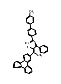 C=C(/N=C(\C(CC)=C(/C)c1ccc2c3ccccc3c3ccccc3c2c1)c1ccccc1)c1ccc(-c2ccc(C)cc2)cc1